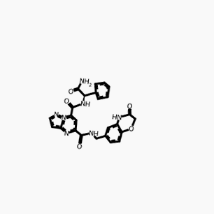 NC(=O)[C@H](NC(=O)c1cc(C(=O)NCc2ccc3c(c2)NC(=O)CO3)nc2ccnn12)c1ccccc1